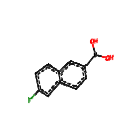 OB(O)c1ccc2cc(F)ccc2c1